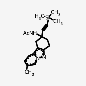 CC(=O)NC1(C#C[Si](C)(C)C)CCc2nn3cc(C)ccc3c2C1